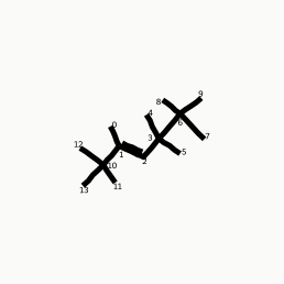 CC(=CC(C)(C)C(C)(C)C)C(C)(C)C